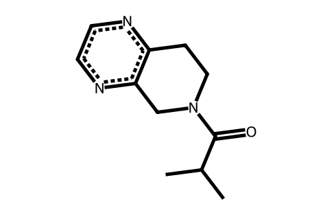 CC(C)C(=O)N1CCc2nccnc2C1